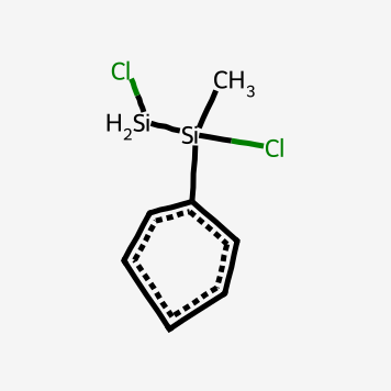 C[Si](Cl)([SiH2]Cl)c1ccccc1